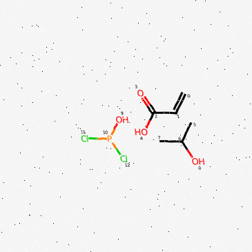 C=CC(=O)O.CC(C)O.OP(Cl)Cl